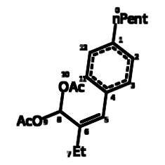 CCCCCc1ccc(C=C(CC)C(OC(C)=O)OC(C)=O)cc1